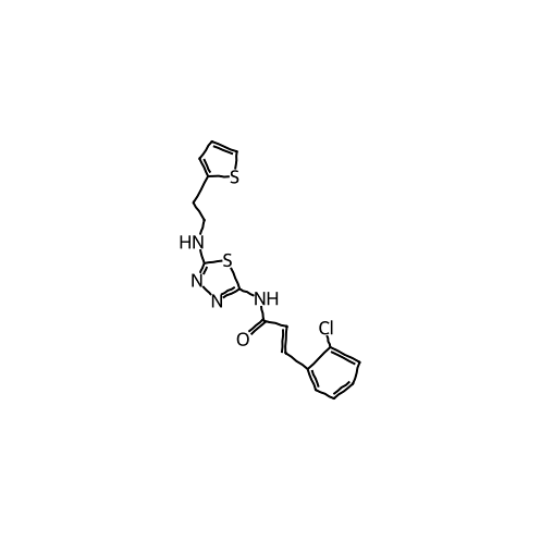 O=C(C=Cc1ccccc1Cl)Nc1nnc(NCCc2cccs2)s1